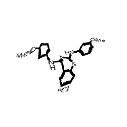 COc1cccc(Nc2nc(Nc3cccc(OC)c3)c3ccccc3n2)c1.Cl